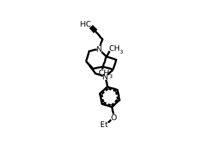 C#CCN1CC2CN(c3ccc(OCC)cc3)C3CC1(C)C3(C)C2